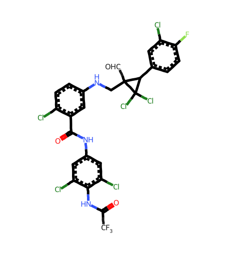 O=CC1(CNc2ccc(Cl)c(C(=O)Nc3cc(Cl)c(NC(=O)C(F)(F)F)c(Cl)c3)c2)C(c2ccc(F)c(Cl)c2)C1(Cl)Cl